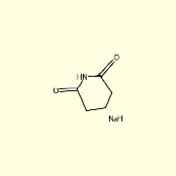 O=C1CCCC(=O)N1.[NaH]